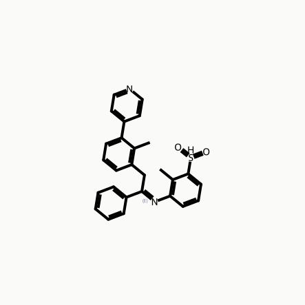 Cc1c(C/C(=N\c2cccc([SH](=O)=O)c2C)c2ccccc2)cccc1-c1ccncc1